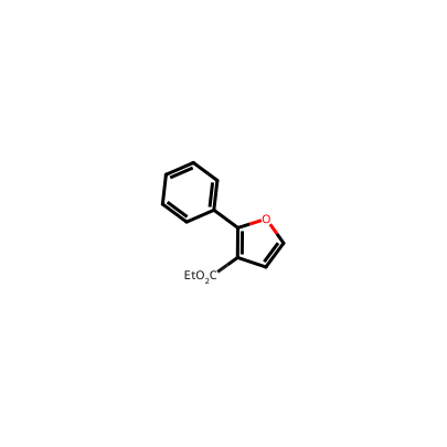 CCOC(=O)c1ccoc1-c1ccccc1